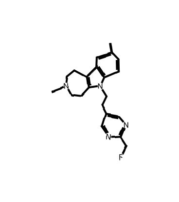 Cc1ccc2c(c1)c1c(n2CCc2cnc(CF)nc2)CCN(C)CC1